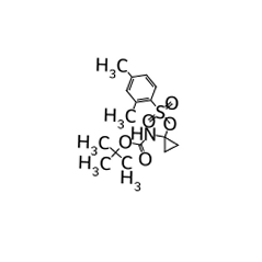 Cc1ccc(S(=O)(=O)OC2(NC(=O)OC(C)(C)C)CC2)c(C)c1